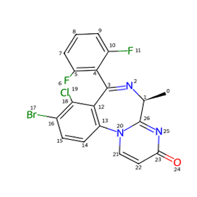 C[C@@H]1N=C(c2c(F)cccc2F)c2c(ccc(Br)c2Cl)-n2ccc(=O)nc21